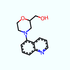 OCC1CN(c2cccc3ncccc23)CCO1